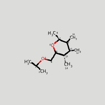 CC(C)OCC1O[C@@H](C)C(C)[C@@H](C)[C@@H]1C